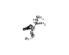 CC(C)CCCC(C)[C@H]1CC[C@H]2[C@@H]3CC=C4C[C@@H](OC(=O)CCCCC(=O)N(CCCN)CCCCNCCCN)CC[C@]4(C)[C@H]3CC[C@]12C.Cl.Cl.Cl